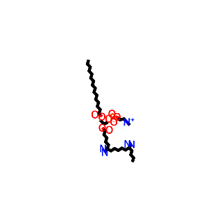 CCCCCCCCCCCCCCCC(=O)OCC(COP(=O)([O-])OCC[N+](C)(C)C)OC(=O)CCCCC1(CCCCCC2(CCCC)N=N2)N=N1